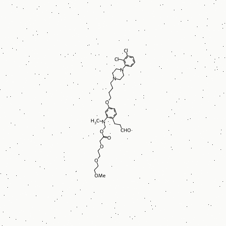 COCCOCCOCC(=O)OCN(C)c1cc(OCCCCN2CCN(c3cccc(Cl)c3Cl)CC2)ccc1CCC=O